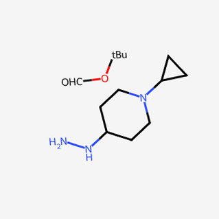 CC(C)(C)OC=O.NNC1CCN(C2CC2)CC1